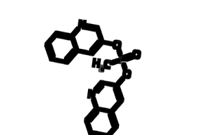 CP(=O)(Oc1cnc2ccccc2c1)Oc1cnc2ccccc2c1